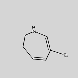 ClC1=CNCCC=C1